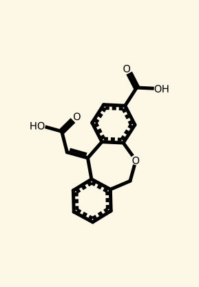 O=C(O)C=C1c2ccccc2COc2cc(C(=O)O)ccc21